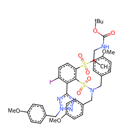 COc1ccc(CN(Cc2ccc(OC)cc2)S(=O)(=O)c2c(S(=O)(=O)C(C)CNC(=O)OC(C)(C)C)ccc(I)c2-c2nnn(Cc3ccc(OC)cc3)n2)cc1